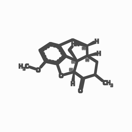 COc1ccc2c3c1O[C@H]1C(=O)C(C)C[C@H]4[C@@H](C2)NCC[C@]314